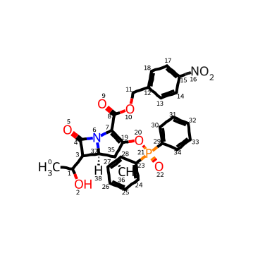 CC(O)C1C(=O)N2C(C(=O)OCc3ccc([N+](=O)[O-])cc3)=C(OP(=O)(c3ccccc3)c3ccccc3)[C@H](C)[C@@H]12